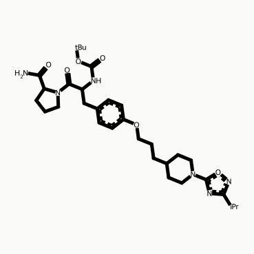 CC(C)c1noc(N2CCC(CCCOc3ccc(CC(NC(=O)OC(C)(C)C)C(=O)N4CCCC4C(N)=O)cc3)CC2)n1